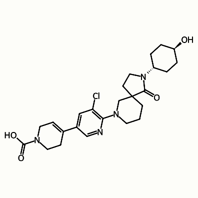 O=C(O)N1CC=C(c2cnc(N3CCCC4(CCN([C@H]5CC[C@H](O)CC5)C4=O)C3)c(Cl)c2)CC1